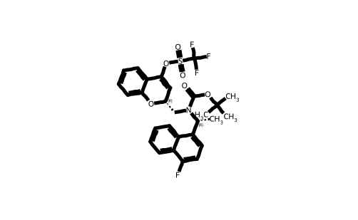 C[C@H](c1ccc(F)c2ccccc12)N(C[C@H]1C=C(OS(=O)(=O)C(F)(F)F)c2ccccc2O1)C(=O)OC(C)(C)C